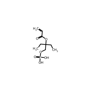 C=CC(=O)OC(CC)(CC)COP(=O)(O)O